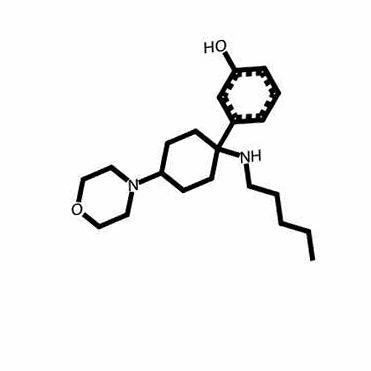 CCCCCNC1(c2cccc(O)c2)CCC(N2CCOCC2)CC1